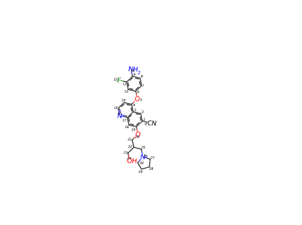 N#Cc1cc2c(Oc3ccc(N)c(F)c3)ccnc2cc1OCC(CO)CN1CCCC1